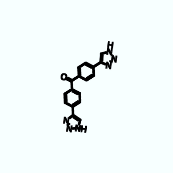 O=C(c1ccc(-c2c[nH]nn2)cc1)c1ccc(-c2c[nH]nn2)cc1